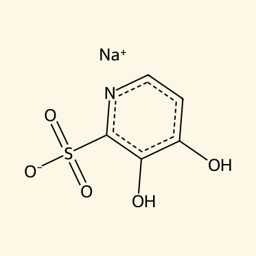 O=S(=O)([O-])c1nccc(O)c1O.[Na+]